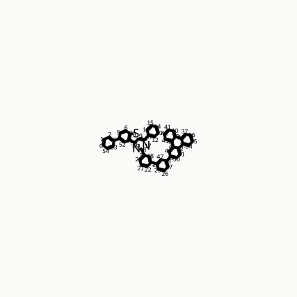 c1ccc(-c2ccc3sc4c(-c5ccccc5)nc(-c5cccc(-c6cccc(-c7ccc8c9ccccc9c9ccccc9c8c7)c6)c5)nc4c3c2)cc1